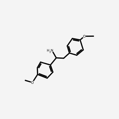 COc1ccc(CC(N)c2ccc(OC)cc2)cc1